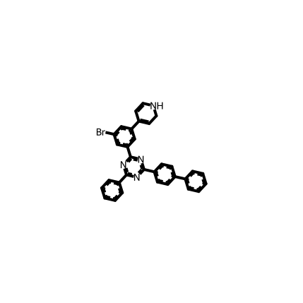 Brc1cc(C2=CCNC=C2)cc(-c2nc(-c3ccccc3)nc(-c3ccc(-c4ccccc4)cc3)n2)c1